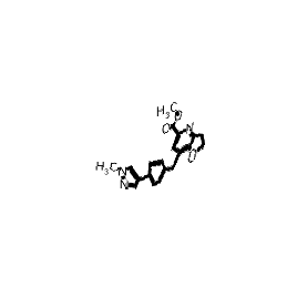 COC(=O)c1cc(Cc2ccc(-c3cnn(C)c3)cc2)c2c(n1)CCO2